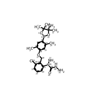 Cc1cc(B2OC(C)(C)C(C)(C)O2)c(C)cc1OCc1c(Cl)cccc1N(N)C(=O)NN